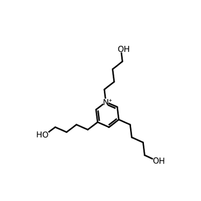 OCCCCc1cc(CCCCO)c[n+](CCCCO)c1